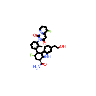 Cc1c(C2c3c([nH]c4cc(CCO)ccc34)[C@@H](C(N)=O)C[C@H]2F)cccc1-n1c(=O)cc2c(F)cccn2c1=O